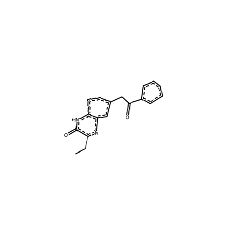 CCc1nc2cc(CC(=O)c3ccccc3)ccc2[nH]c1=O